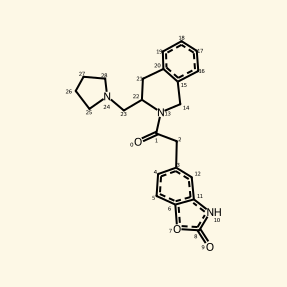 O=C(Cc1ccc2oc(=O)[nH]c2c1)N1Cc2ccccc2CC1CN1CCCC1